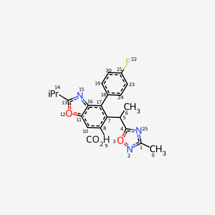 Cc1noc(C(C)c2c(C(=O)O)cc3oc(C(C)C)nc3c2-c2ccc(F)cc2)n1